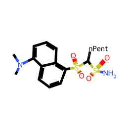 CCCCCC(S(N)(=O)=O)S(=O)(=O)c1cccc2c(N(C)C)cccc12